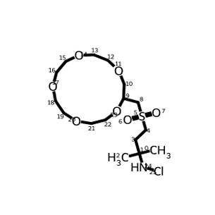 CC(C)(CCS(=O)(=O)CC1COCCOCCOCCOCCO1)NCl